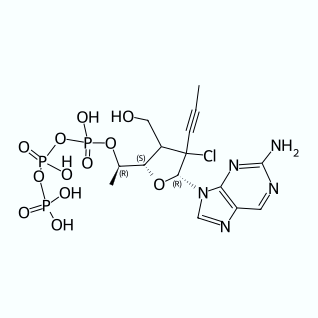 CC#CC1(Cl)C(CO)[C@@H]([C@@H](C)OP(=O)(O)OP(=O)(O)OP(=O)(O)O)O[C@H]1n1cnc2cnc(N)nc21